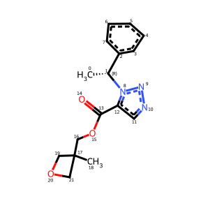 C[C@H](c1ccccc1)n1nncc1C(=O)OCC1(C)COC1